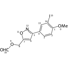 COc1ccc(-c2cc(COC=O)on2)cc1I